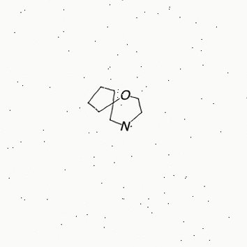 C1CCC2(C1)C[N]CCO2